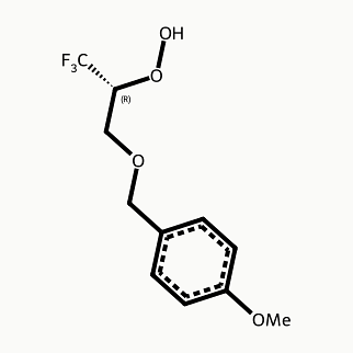 COc1ccc(COC[C@@H](OO)C(F)(F)F)cc1